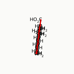 NC(=O)[C@H](CCCCNC(=O)COCCOCCNC(=O)COCCOCCNC(=O)COCCOCCNC(=O)COCCOCCNC(=O)COCCOCCNC(=O)[C@@H](N)CCCCNC(=O)[C@@H](N)CCCCNC(=O)[C@@H](N)CCCCNC(=O)CCCCCCCCCCCCCCCCC(=O)O)NI